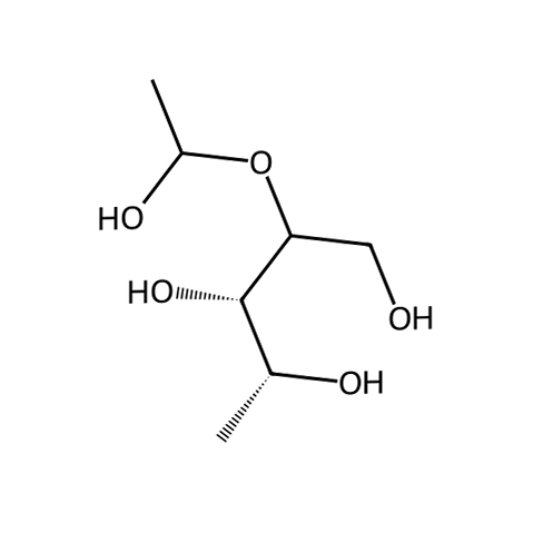 CC(O)OC(CO)[C@@H](O)[C@@H](C)O